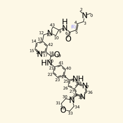 CN(C)C/C=C/C(=O)NC1CN(Cc2ccnc(C(=O)Nc3ccc(-c4cc5c(N6CCOCC6)ncnc5[nH]4)cc3)c2)C1